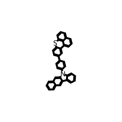 c1ccc2cc3c(cc2c1)c1ccccc1n3-c1ccc(-c2ccc3c(c2)-c2cccc4cccc(c24)S3)cc1